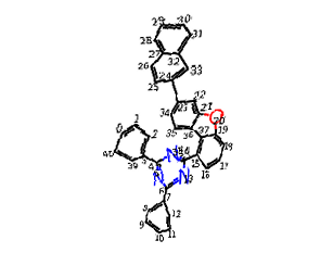 c1ccc(-c2nc(-c3ccccc3)nc(-c3cccc4oc5cc(-c6ccc7ccccc7c6)ccc5c34)n2)cc1